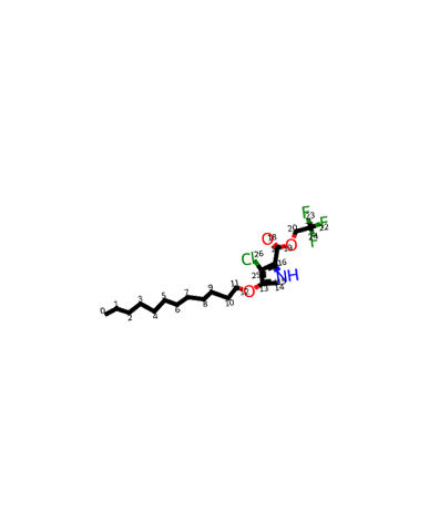 CCCCCCCCCCCCOc1c[nH]c(C(=O)OCC(F)(F)F)c1Cl